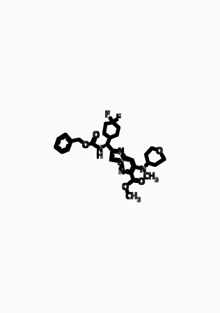 COC(=O)c1nn2cc([C@@H](NC(=O)OCc3ccccc3)C3CCC(F)(F)CC3)nc2cc1N(C)C1CCOCC1